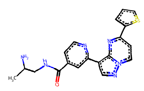 CC(N)CNC(=O)c1ccnc(-c2cnn3ccc(-c4cccs4)nc23)c1